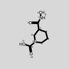 CNC(=O)C1CCCN(C(=O)O)C1